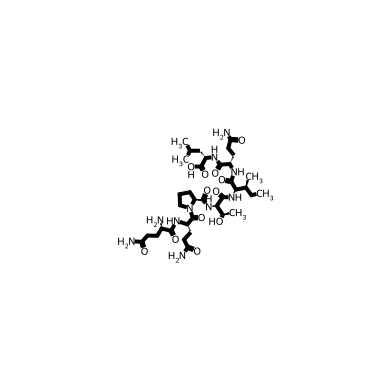 CC[C@H](C)[C@H](NC(=O)[C@@H](NC(=O)[C@@H]1CCCN1C(=O)[C@H](CCC(N)=O)NC(=O)[C@@H](N)CCC(N)=O)[C@@H](C)O)C(=O)N[C@@H](CCC(N)=O)C(=O)N[C@@H](CC(C)C)C(=O)O